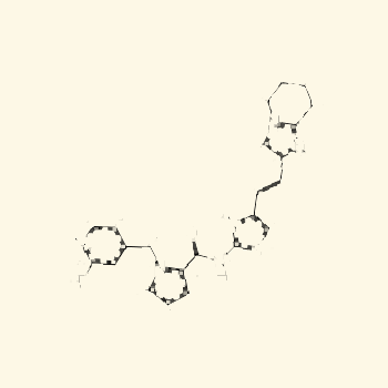 O=C(Nc1nc(/C=C/c2cn3c(n2)CCCC3)cs1)c1cccn1Cc1ccnc(F)c1